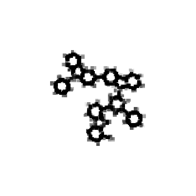 Fc1cccc2c1oc1c(-c3nc(-c4ccccc4)nc(-n4c5ccccc5c5ccc(-c6ccc7c(c6)c6ccccc6n7-c6ccccc6)cc54)n3)cccc12